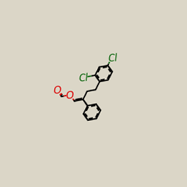 O=CO/C=C(\CCc1ccc(Cl)cc1Cl)c1ccccc1